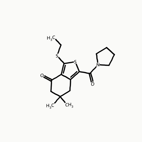 CCSc1sc(C(=O)N2CCCC2)c2c1C(=O)CC(C)(C)C2